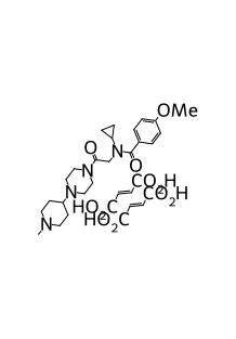 COc1ccc(C(=O)N(CC(=O)N2CCN(C3CCN(C)CC3)CC2)C2CC2)cc1.O=C(O)/C=C/C(=O)O.O=C(O)/C=C/C(=O)O